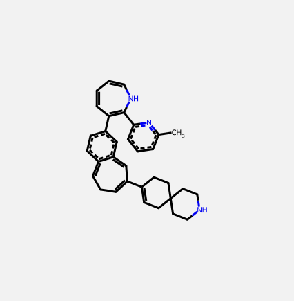 Cc1cccc(C2=C(c3ccc4c(c3)=CC(C3=CCC5(CCNCC5)CC3)=CCC=4)C=CC=CN2)n1